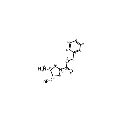 CCC[C@H]1CN(C(=O)OCc2ccccc2)C[C@H]1N